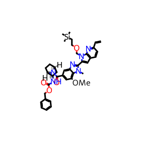 C=Cc1ccc2cc(-c3nc4cc(C(=O)N5[C@H]6CC[C@@H]5[C@H](NC(=O)OCc5ccccc5)C6)cc(OC)c4n3C)n(COCC[Si](C)(C)C)c2n1